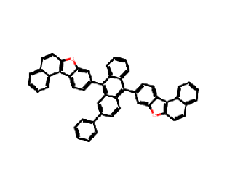 c1ccc(-c2ccc3c(-c4ccc5c(c4)oc4ccc6ccccc6c45)c4ccccc4c(-c4ccc5c(c4)oc4ccc6ccccc6c45)c3c2)cc1